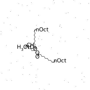 CCCCCCCC/C=C\CCCCCCCC(=O)OC[C@H](CCCN(C)C)OC(=O)CCCCCCC/C=C\CCCCCCCC